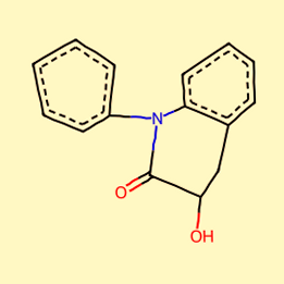 O=C1C(O)Cc2ccccc2N1c1ccccc1